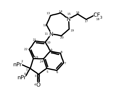 CCCC1(CCC)C(=O)c2cccc3c(N4CCCN(CCC(F)(F)F)CC4)ccc1c23